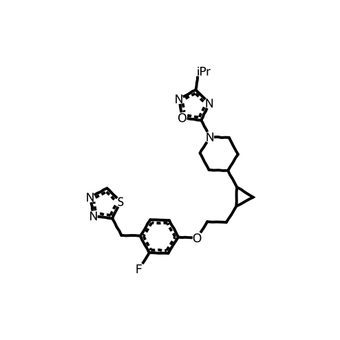 CC(C)c1noc(N2CCC(C3CC3CCOc3ccc(Cc4nncs4)c(F)c3)CC2)n1